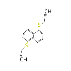 C#CCSc1cccc2c(SCC#C)cccc12